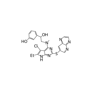 CCc1[nH]c2nc(Sc3cnc4nccnc4c3)nc(N(C)CC(O)c3cccc(O)c3)c2c1Cl